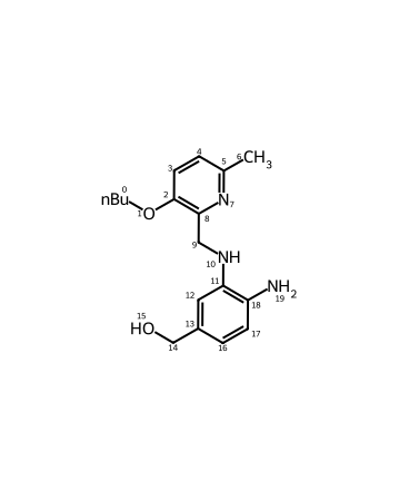 CCCCOc1ccc(C)nc1CNc1cc(CO)ccc1N